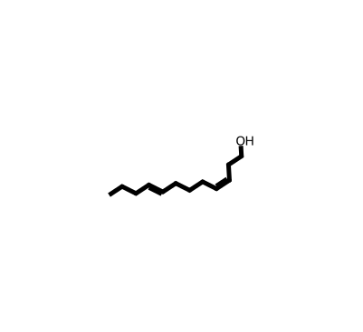 CCC/C=C/CCC/C=C\CCO